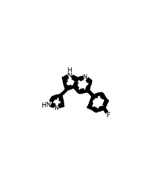 Fc1ccc(-c2cnc3[nH]cc(-c4cn[nH]c4)c3c2)cc1